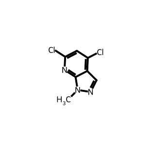 Cn1ncc2c(Cl)cc(Cl)nc21